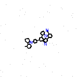 CC1CC=Cc2c1c1c(n2-c2ccc(-c3cc(C#N)cc(-c4ccccc4-n4c5ccccc5c5cccc(C#N)c54)c3)cc2)C=CCC1